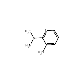 CN(N)c1ncccc1N